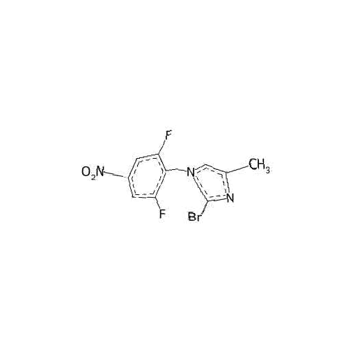 Cc1cn(-c2c(F)cc([N+](=O)[O-])cc2F)c(Br)n1